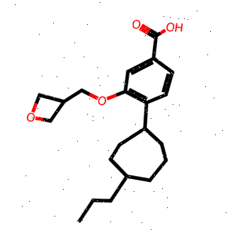 CCCC1CCCC(c2ccc(C(=O)O)cc2OCC2COC2)CC1